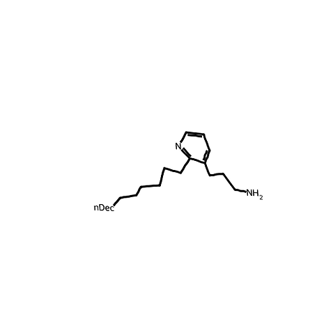 CCCCCCCCCCCCCCCCc1ncccc1CCCN